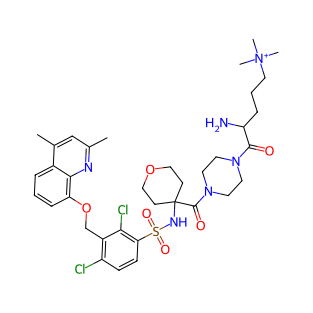 Cc1cc(C)c2cccc(OCc3c(Cl)ccc(S(=O)(=O)NC4(C(=O)N5CCN(C(=O)C(N)CCC[N+](C)(C)C)CC5)CCOCC4)c3Cl)c2n1